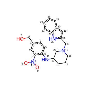 O=[N+]([O-])c1cc(CO)ccc1NC1CCCN(Cc2cc3ccccc3[nH]2)C1